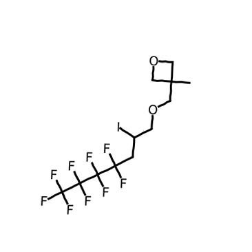 CC1(COCC(I)CC(F)(F)C(F)(F)C(F)(F)C(F)(F)F)COC1